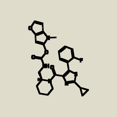 Cn1c(OC(=O)NC[C@@H]2CCCCN2C(=O)c2nc(C3CC3)sc2-c2ccccc2F)cc2occc21